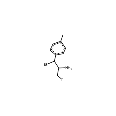 CCC(c1ccc(C)cc1)C(N)CF